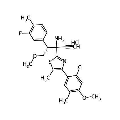 C#CC(N)(c1nc(-c2cc(C)c(OC)cc2Cl)c(C)s1)[C@H](COC)c1ccc(C)c(F)c1.Cl